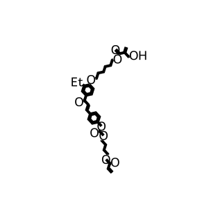 C=CC(=O)OCCCCOC(=O)Oc1ccc(/C=C/C(=O)c2ccc(OCCCCCCOC(=O)C(=C)CO)c(CC)c2)cc1